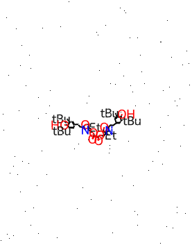 CCC1(COC(=O)C(=O)OCC2(CC)COC(CCc3cc(C(C)(C)C)c(O)c(C(C)(C)C)c3)=N2)COC(CCc2cc(C(C)(C)C)c(O)c(C(C)(C)C)c2)=N1